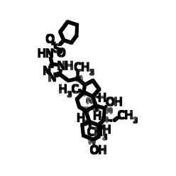 CC[C@H]1[C@@H](O)[C@@H]2[C@H](CC[C@]3(C)C([C@H](C)Cc4nnc(NS(=O)(=O)C5CCCCC5)[nH]4)CC[C@@H]23)[C@@]2(C)CC[C@@H](O)C[C@@H]12